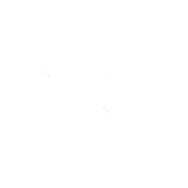 OCCn1cc(I)c2c(C(F)(F)F)nccc21